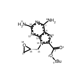 CC(C)(C)OC(=O)c1nc2c(N)nc(N)nc2n1C[C@@H]1CO1